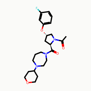 CC(=O)N1C[C@@H](Oc2cccc(F)c2)C[C@@H]1C(=O)N1CCCN(C2CCOCC2)CC1